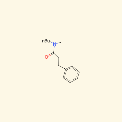 CCCCN(C)C(=O)CCc1ccccc1